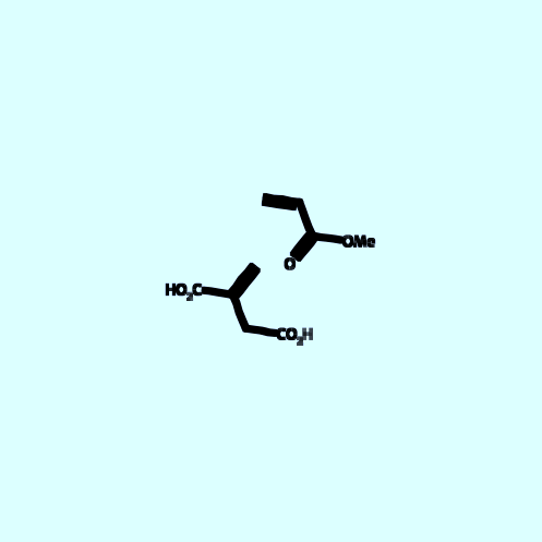 C=C(CC(=O)O)C(=O)O.C=CC(=O)OC